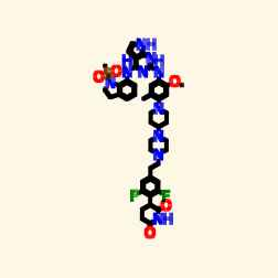 COc1cc(N2CCC(N3CCN(CCc4cc(F)c(C5CCC(=O)NC5=O)c(F)c4)CC3)CC2)c(C)cc1Nc1nc(Nc2cccc3c2N(S(C)(=O)=O)CC3)c2cc[nH]c2n1